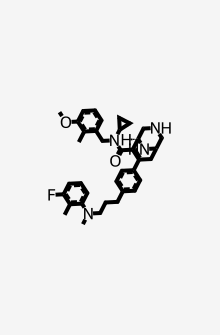 COc1cccc(CN(C(=O)C2=C(c3ccc(CCCN(C)c4cccc(F)c4C)cc3)CC3CNC[C@H]2N3)C2CC2)c1C